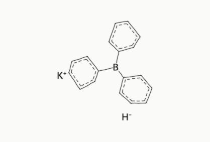 [H-].[K+].c1ccc(B(c2ccccc2)c2ccccc2)cc1